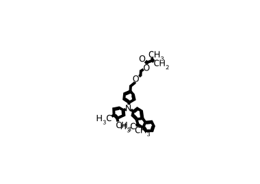 C=C(C)C(=O)OCCOCCc1ccc(N(c2ccc(C)c(C)c2)c2ccc3c(c2)C(C)(C)c2ccccc2-3)cc1